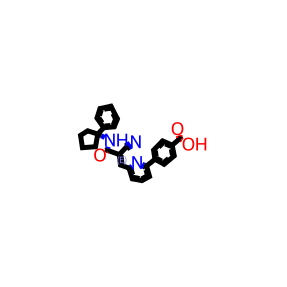 N#C/C(=C\c1cccc(-c2ccc(C(=O)O)cc2)n1)C(=O)NC1(c2ccccc2)CCCC1